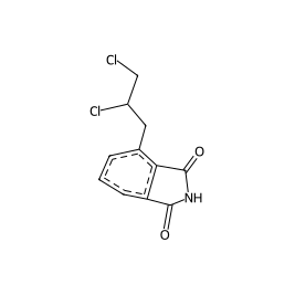 O=C1NC(=O)c2c(CC(Cl)CCl)cccc21